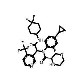 O=C(NC1CCC(F)(F)CC1)C(c1cnccc1C(F)(F)F)N(C(=O)[C@H]1COCCN1)c1ccc(C2CC2)cc1F